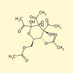 CC(=O)OC[C@H]1OC(O)(C(C)=O)[C@](O)(C(C)=O)[C@](O)(C(C)=O)[C@@H]1OC(C)=O